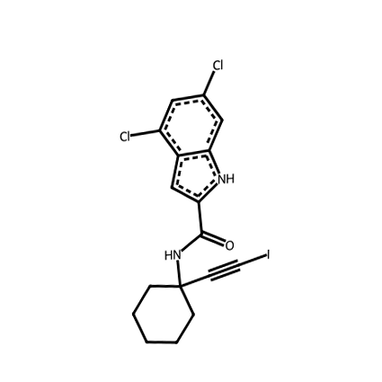 O=C(NC1(C#CI)CCCCC1)c1cc2c(Cl)cc(Cl)cc2[nH]1